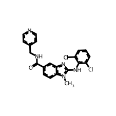 Cn1c(Nc2c(Cl)cccc2Cl)nc2cc(C(=O)NCc3ccncc3)ccc21